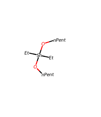 CCCCC[O][Sn]([CH2]C)([CH2]C)[O]CCCCC